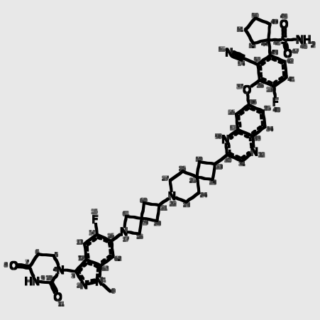 Cn1nc(N2CCC(=O)NC2=O)c2cc(F)c(N3CC4(CC(N5CCC6(CC5)CC(c5cnc7ccc(Oc8c(F)ccc(C9(S(N)(=O)=O)CCCC9)c8C#N)cc7n5)C6)C4)C3)cc21